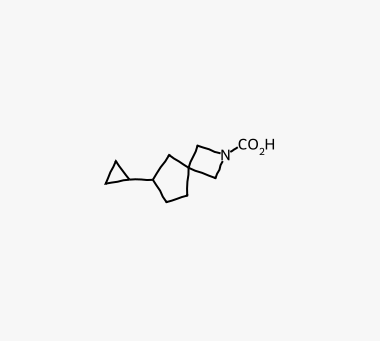 O=C(O)N1CC2(CCC(C3CC3)C2)C1